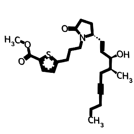 CCCC#CC[C@H](C)[C@H](O)/C=C/[C@H]1CCC(=O)N1CCCc1ccc(C(=O)OC)s1